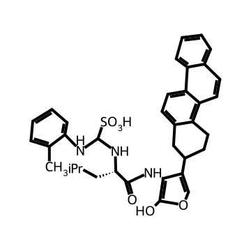 Cc1ccccc1NC(N[C@@H](CC(C)C)C(=O)Nc1c(C2CCc3c(ccc4c3ccc3ccccc34)C2)coc1O)S(=O)(=O)O